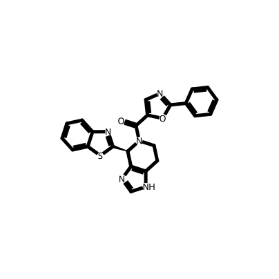 O=C(c1cnc(-c2ccccc2)o1)N1CCc2[nH]cnc2[C@H]1c1nc2ccccc2s1